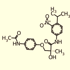 CC(=O)Nc1ccc(OC[C@](C)(O)C(=O)Nc2ccc(C(C)C)c([N+](=O)[O-])c2)cc1